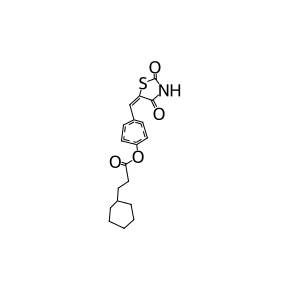 O=C(CCC1CCCCC1)Oc1ccc(C=C2SC(=O)NC2=O)cc1